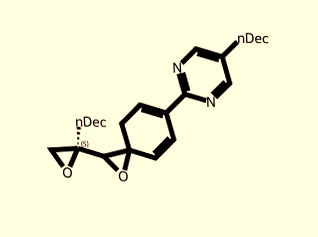 CCCCCCCCCCc1cnc(C2=CCC3(C=C2)OC3[C@]2(CCCCCCCCCC)CO2)nc1